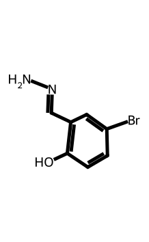 NN=Cc1cc(Br)ccc1O